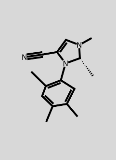 Cc1cc(C)c(N2C(C#N)=CN(C)[C@@H]2C)cc1C